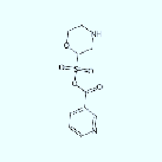 O=C(OS(=O)(=O)C1CNCCO1)c1cccnc1